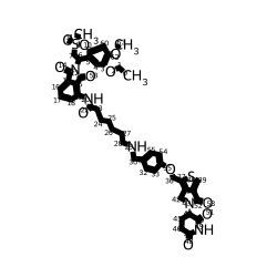 CCOc1cc(C(CS(C)(=O)=O)N2C(=O)c3cccc(NC(=O)CCCCCCNCc4ccc(OCc5scc6c5CN([C@H]5CCC(=O)NC5=O)C6=O)cc4)c3C2=O)ccc1OC